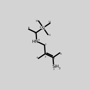 CC([SiH3])=C(C)CNC(C)[Si](C)(C)C